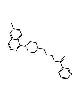 Cc1ccc2c(N3CCN(CCCNC(=O)c4cccnc4)CC3)nccc2c1